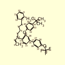 C=CN(CCCCc1ccccc1)c1ccc(-c2ccc(OC(F)(F)F)cc2)cc1Oc1ccc(C(C)(C)C)cc1